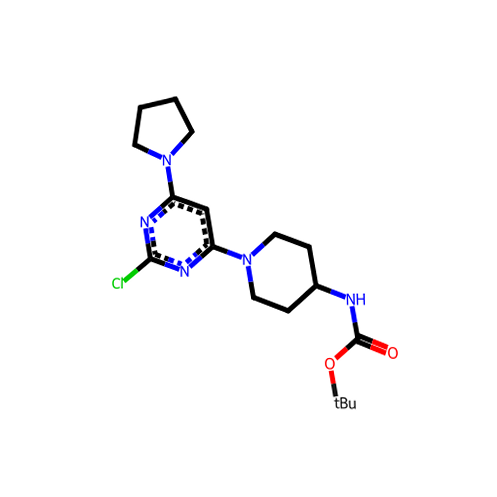 CC(C)(C)OC(=O)NC1CCN(c2cc(N3CCCC3)nc(Cl)n2)CC1